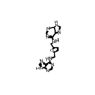 C1=NC2NC=NC2C(NCc2ccc(CNc3ncnc4[nH]cnc34)o2)=N1